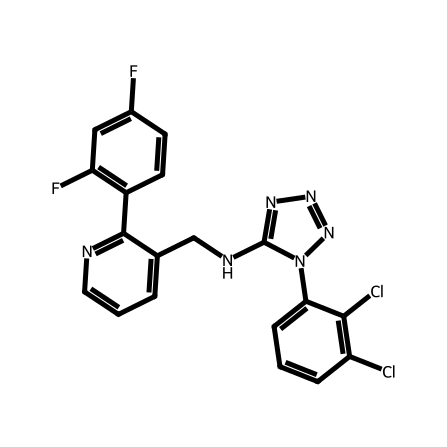 Fc1ccc(-c2ncccc2CNc2nnnn2-c2cccc(Cl)c2Cl)c(F)c1